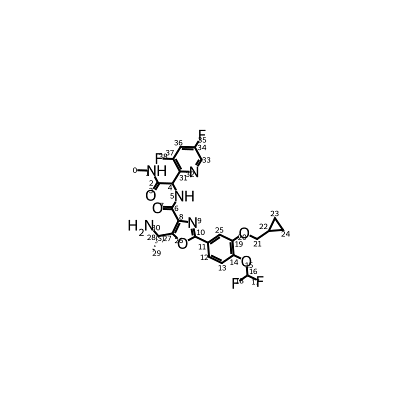 CNC(=O)C(NC(=O)c1nc(-c2ccc(OC(F)F)c(OCC3CC3)c2)oc1[C@H](C)N)c1ncc(F)cc1F